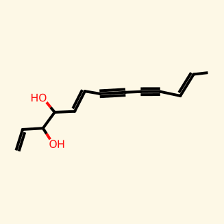 C=CC(O)C(O)C=CC#CC#CC=CC